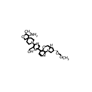 COCOC[C@H]1C[C@H]2COc3c(-c4cnc(N5CCC6(CC5)CO[C@@H](C)[C@H]6N)c(CO)n4)ccnc3N2C1